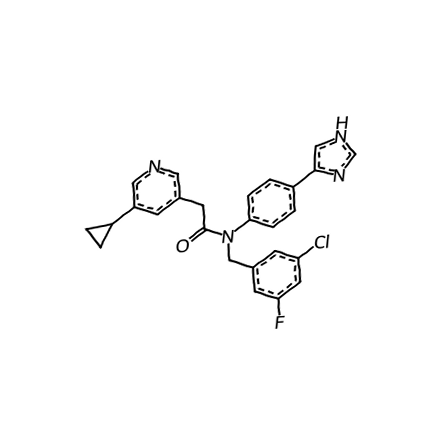 O=C(Cc1cncc(C2CC2)c1)N(Cc1cc(F)cc(Cl)c1)c1ccc(-c2c[nH]cn2)cc1